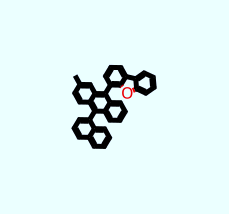 Cc1ccc2c(-c3cccc4ccccc34)c3ccccc3c(-c3cccc4c3oc3ccccc34)c2c1